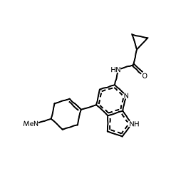 CNC1CC=C(c2cc(NC(=O)C3CC3)nc3[nH]ccc23)CC1